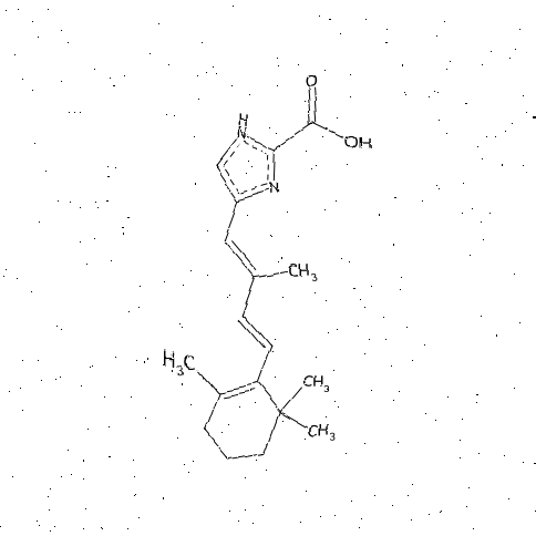 CC1=C(/C=C/C(C)=C/c2c[nH]c(C(=O)O)n2)C(C)(C)CCC1